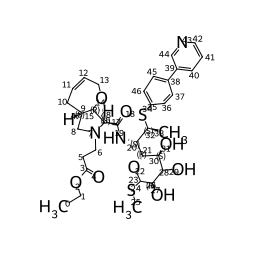 CCOC(=O)CCN1C[C@@H]2CC=CCO[C@H]2[C@H]1C(=O)N[C@@H]([C@H]1OC(SC)[C@H](O)C(O)[C@@H]1O)[C@H](C)Sc1ccc(-c2cccnc2)cc1